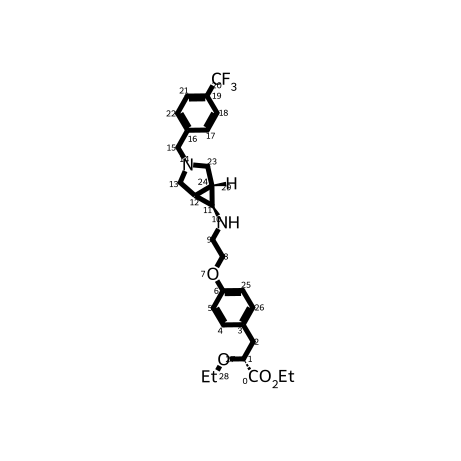 CCOC(=O)[C@@H](Cc1ccc(OCCN[C@H]2C3CN(Cc4ccc(C(F)(F)F)cc4)C[C@@H]32)cc1)OCC